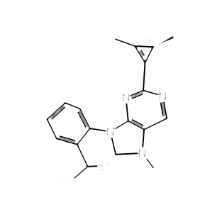 CCC(CC)c1ccccc1N1CN(C)c2cnc(C3=C(C)[C@H]3C)nc21